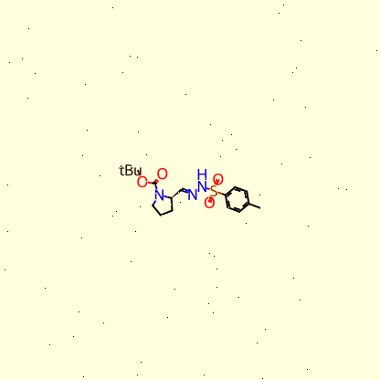 Cc1ccc(S(=O)(=O)NN=C[C@H]2CCCN2C(=O)OC(C)(C)C)cc1